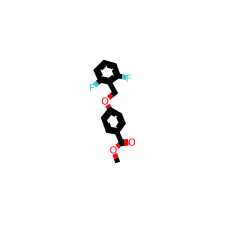 COC(=O)c1ccc(OCc2c(F)cccc2F)cc1